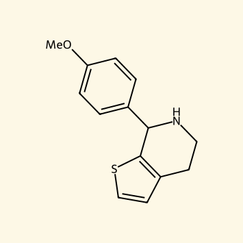 COc1ccc(C2NCCc3ccsc32)cc1